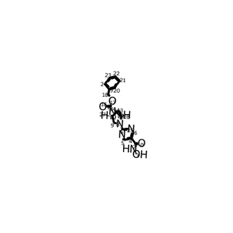 O=C(NO)c1cnc(N2C[C@@H]3C[C@H]2CN3C(=O)OCc2ccccc2)nc1